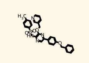 Cc1ccc(S(=O)(=O)Nc2ncc(-c3ccc(OCc4ccccc4)cc3)nc2OCc2cccnc2)cc1